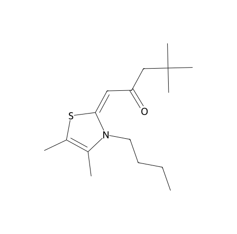 CCCCN1C(=CC(=O)CC(C)(C)C)SC(C)=C1C